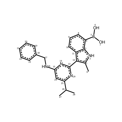 Cc1[nH]c2c(B(O)O)cccc2c1-c1nc(NCc2ccccc2)cc(C(C)C)n1